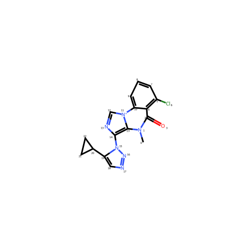 CN1C(=O)c2c(Cl)cccc2[N+]2C=NC(n3nncc3C3CC3)=C12